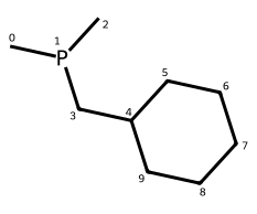 CP(C)CC1CCCCC1